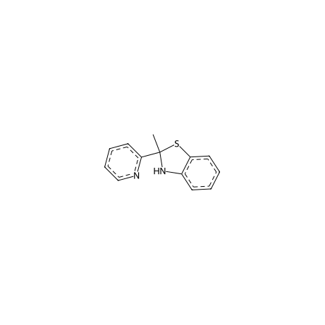 CC1(c2ccccn2)Nc2ccccc2S1